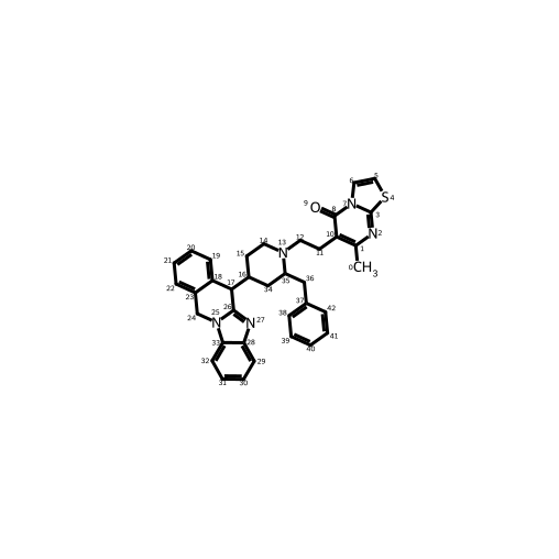 Cc1nc2sccn2c(=O)c1CCN1CCC(C2c3ccccc3Cn3c2nc2ccccc23)CC1Cc1ccccc1